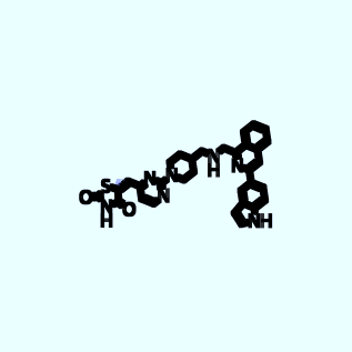 O=C1NC(=O)/C(=C\c2ccnc(N3CCC(CNCc4nc(-c5ccc6[nH]ccc6c5)cc5ccccc45)CC3)n2)S1